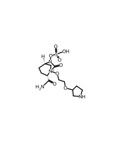 NC(=O)[C@@H]1CC[C@@H]2C[N+]1(OCCOC1CCNC1)C(=O)N2OS(=O)(=O)O